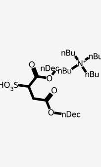 CCCCCCCCCCOC(=O)CC(C(=O)OCCCCCCCCCC)S(=O)(=O)O.CCCC[N+](CCCC)(CCCC)CCCC